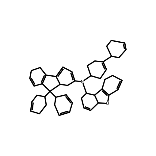 C1=CCC(C2(C3CC=CCC3)C3=C(CCC=C3)C3=CC=C(N(C4CC=C(C5CC=CCC5)CC4)C4CC=CC5OC6=C(CCC=C6)C54)CC32)C=C1